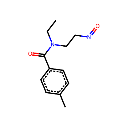 CCN(CCN=O)C(=O)c1ccc(C)cc1